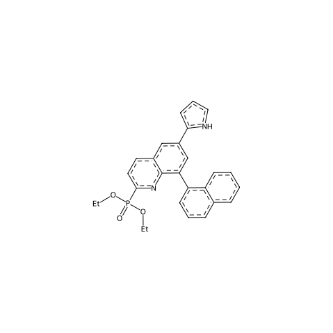 CCOP(=O)(OCC)c1ccc2cc(-c3ccc[nH]3)cc(-c3cccc4ccccc34)c2n1